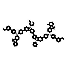 C=C/C=C(\C=C/C)n1c2ccc(-c3ccc(N(c4ccc(-c5cccc(C=C)c5)cc4)c4ccc5c(c4)C(C)(C)c4ccccc4-5)cc3)cc2c2cc(-c3ccc4c(c3)c3c(n4-c4ccccc4)CCC(c4ccc(N(c5ccc(-c6cccc(C=C)c6)cc5)c5ccc6c(c5)C(C)(C)C5=C6C(C)CC=C5)cc4)=C3)ccc21